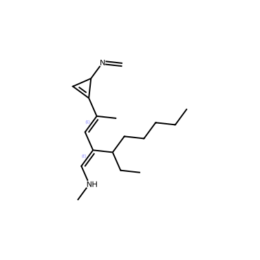 C=NC1C=C1/C(C)=C/C(=C/NC)C(CC)CCCCC